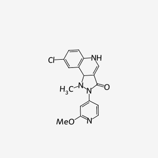 COc1cc(N2C(=O)C3=CNc4ccc(Cl)cc4C3N2C)ccn1